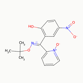 CC(C)(C)O/N=C(/c1cc([N+](=O)[O-])ccc1O)c1cccc[n+]1[O-]